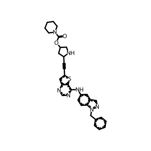 O=C(OC1CNC(C#Cc2cc3ncnc(Nc4ccc5c(cnn5Cc5ccccc5)c4)c3s2)C1)N1CCCCC1